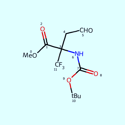 COC(=O)C(CC=O)(NC(=O)OC(C)(C)C)C(F)(F)F